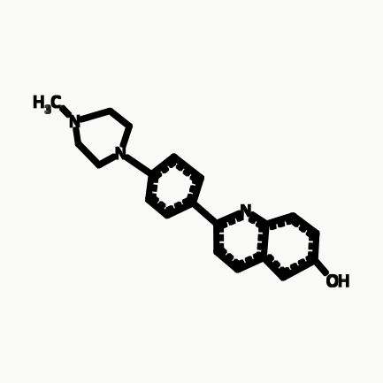 CN1CCN(c2ccc(-c3ccc4cc(O)ccc4n3)cc2)CC1